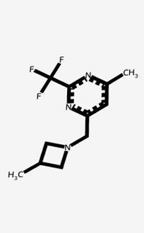 Cc1cc(CN2CC(C)C2)nc(C(F)(F)F)n1